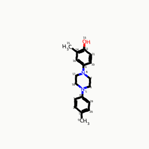 Cc1ccc(N2CCN(c3ccc(O)c(C)c3)CC2)cc1